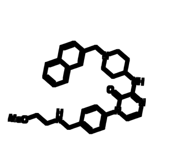 COCCNCc1ccc(-n2ccnc(NC3CCN(Cc4ccc5ccccc5c4)CC3)c2=O)cc1